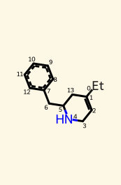 CCC1=CCNC(Cc2ccccc2)C1